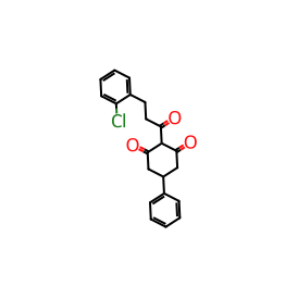 O=C(CCc1ccccc1Cl)C1C(=O)CC(c2ccccc2)CC1=O